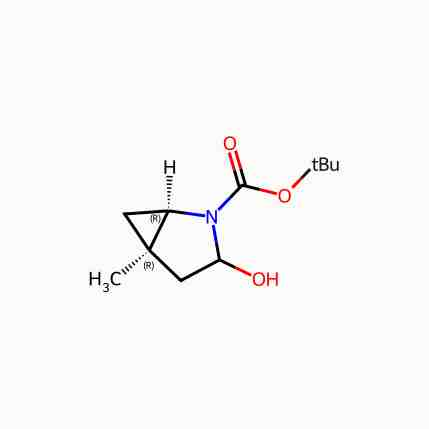 CC(C)(C)OC(=O)N1C(O)C[C@@]2(C)C[C@@H]12